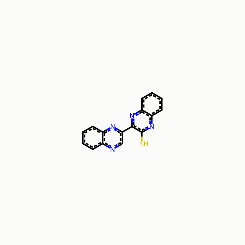 Sc1nc2ccccc2nc1-c1cnc2ccccc2n1